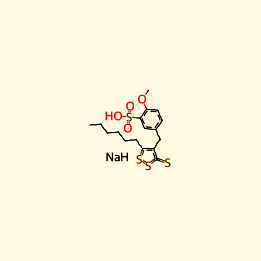 CCCCCCc1ssc(=S)c1Cc1ccc(OC)c(S(=O)(=O)O)c1.[NaH]